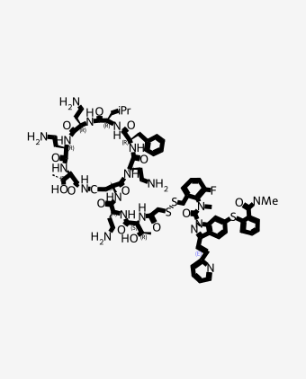 CNC(=O)c1ccccc1Sc1ccc2c(/C=C/c3ccccn3)nn(C(=O)N(C)c3c(F)cccc3CSSCC(=O)N[C@H](C(=O)N[C@H](CCN)C(=O)N[C@H]3CCNC(=O)[C@@H]([C@@H](C)O)NC(=O)[C@@H](CCN)NC(=O)[C@@H](CCN)NC(=O)[C@@H](CC(C)C)NC(=O)[C@@H](Cc4ccccc4)NC(=O)[C@@H](CCN)NC3=O)[C@@H](C)O)c2c1